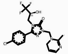 [CH2]C1=NC=CCN1Cn1nc(-c2ccc(Cl)cc2)n(C[C@H](O)C(F)(F)F)c1=O